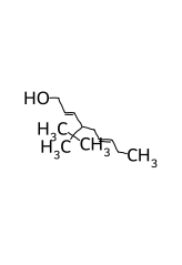 CCC=CCC(C=CCO)C(C)(C)C